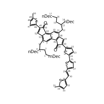 CCCCCCCCCCCCC(CCCCCCCCCC)Cc1cc2c(cc(CC(CCCCCCCCCC)CCCCCCCCCCCC)c3cc(-c4ccc(-c5ccc(/C=C/c6ccc(C)s6)s5)s4)c(=O)c32)c2c(=O)c(-c3ccc(C)s3)cc12